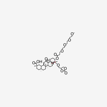 COCCOCCOCCOCCC(=O)O[C@H]1CC[C@]2(C)[C@H]3C(=O)C=C4C5C[C@@](C)(C(=O)O)CC[C@]5(C)CC[C@@]4(C)[C@]3(C)CC[C@]23N=C(OCC2COC(=O)O2)[C@]13C